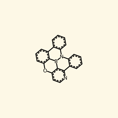 c1ccc2c(c1)-c1cccc3c1B1c4c(ccnc4-c4ccccc4N12)O3